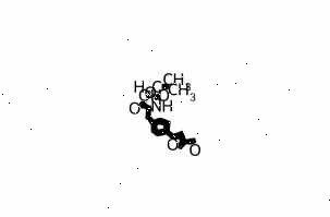 CC(C)(C)OC(=O)NC(Cc1ccc(-c2cc(C=O)co2)cc1)C(=O)O